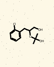 CC(C)(O)OC(CO)Cc1ccccc1Cl